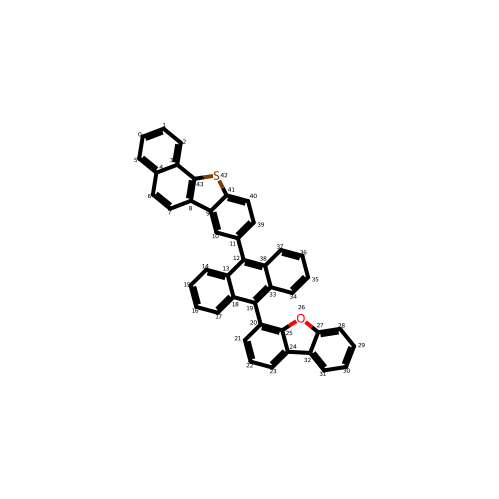 c1ccc2c(c1)ccc1c3cc(-c4c5ccccc5c(-c5cccc6c5oc5ccccc56)c5ccccc45)ccc3sc21